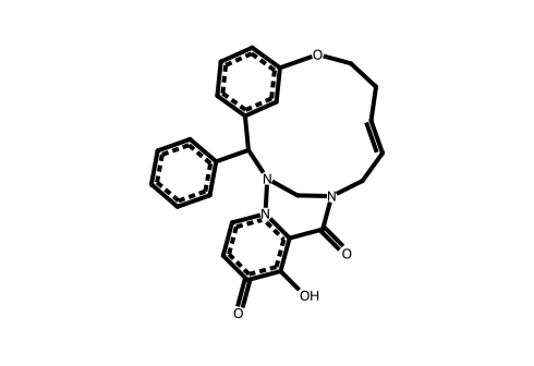 O=C1c2c(O)c(=O)ccn2N2CN1C/C=C/CCOc1cccc(c1)C2c1ccccc1